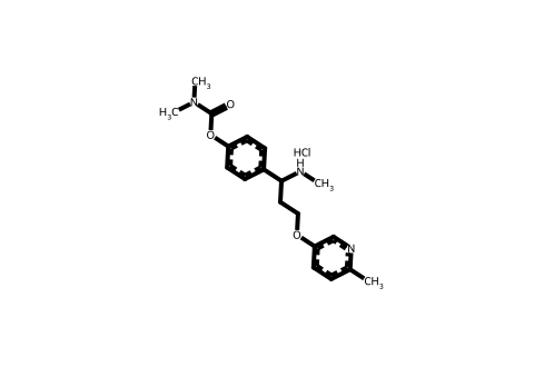 CNC(CCOc1ccc(C)nc1)c1ccc(OC(=O)N(C)C)cc1.Cl